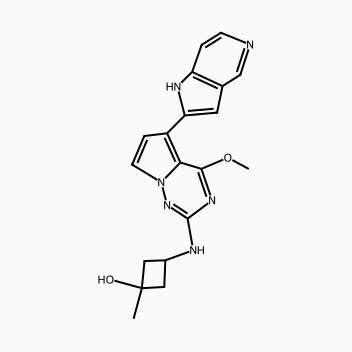 COc1nc(NC2CC(C)(O)C2)nn2ccc(-c3cc4cnccc4[nH]3)c12